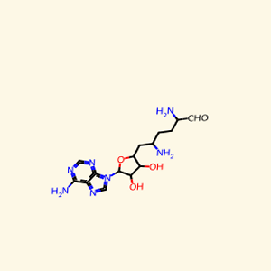 Nc1ncnc2c1ncn2C1OC(CC(N)CCC(N)C=O)C(O)C1O